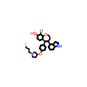 Oc1ccc2c(c1Cl)OCCC(c1cccc3[nH]ccc13)=C2c1ccc(O[C@H]2CCN(CCCF)C2)cc1